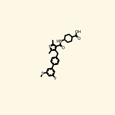 CSc1cc(F)cc(-c2ccc(Cc3c(C)sc(C)c3C(=O)NC3CCC(C(=O)O)CC3)cc2)c1